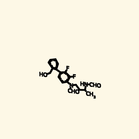 CC(CCN(C=O)c1ccc(-c2ccccc2CO)c(F)c1F)NC=O